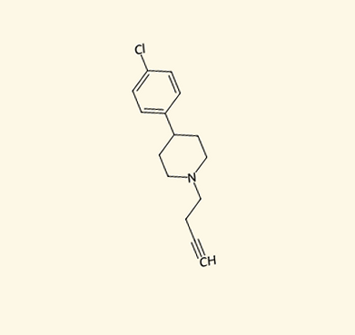 C#CCCN1CCC(c2ccc(Cl)cc2)CC1